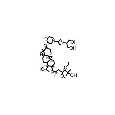 CCO[C@@H](C(C[C@@H](C)[C@H]1C[C@H](O)[C@@]2(C)C3CC[C@H]4C(C)(C)[C@@H](O[C@H]5CN(C6CN(C(CO)CO)C6)CCO5)CC[C@@]45C[C@@]35CC[C@]12C)OC)C(C)(C)O